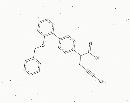 CC#CCC(C(=O)O)c1ccc(-c2ccccc2OCc2ccccc2)cc1